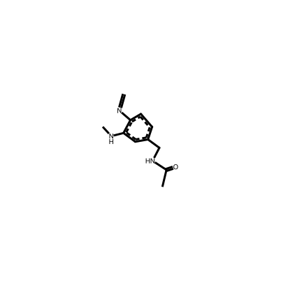 C=Nc1ccc(CNC(C)=O)cc1NC